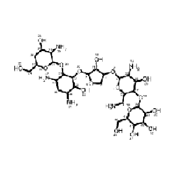 NCC1OC(OC2COC(OC3C(O)C(N)CC(N)C3OC3OC(CO)CC(O)C3N)C2O)C(N)C(O)C1OC1OC(CO)C(O)C(O)C1O